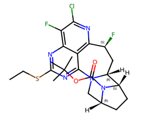 CCSc1nc2c3c(nc(Cl)c(F)c3n1)[C@@H](F)C[C@@H]1[C@@H]3CC[C@H](CN21)N3C(=O)OC(C)(C)C